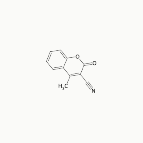 Cc1c(C#N)c(=O)oc2ccccc12